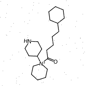 O=C(CCCCC1CCCCC1)[N+]1(C2CCNCC2)CCCCC1